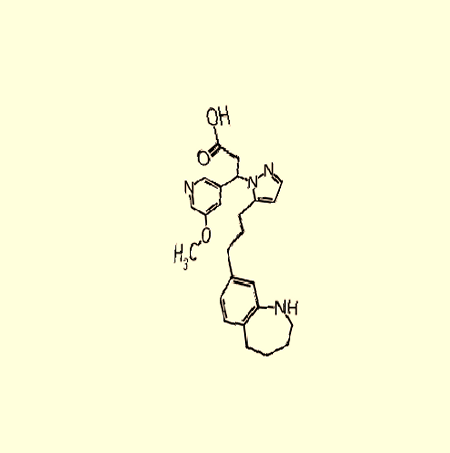 COc1cncc(C(CC(=O)O)n2nccc2CCCc2ccc3c(c2)NCCCC3)c1